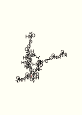 C=CC(=O)N[C@@H](C)C(=O)N1CCC[C@H]1C(=O)NCC(=O)N[C@@H](CCC(C)CCC(C)CC(NC(=O)C(C)NC(=O)COCCOCCNC(=O)C(=C)C)C(=O)NC(C)C(=O)NC(CC(C)C)C(=O)NCCOCCOCC(=O)NCCCNC(=O)C(=C)C)C(=O)NCCOCCOCC(=O)NCCCNC(=O)C(=C)C